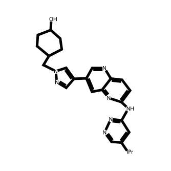 CC(C)c1cnnc(Nc2ccc3ncc(-c4cnn(CC5CCC(O)CC5)c4)cc3n2)c1